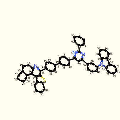 c1ccc(-c2nc(-c3ccc(-c4ccc(-c5nc6ccc7ccccc7c6c6c5sc5ccccc56)cc4)cc3)cc(-c3cccc(-n4c5ccccc5c5ccccc54)c3)n2)cc1